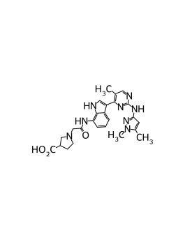 Cc1cnc(Nc2cc(C)n(C)n2)nc1-c1c[nH]c2c(NC(=O)CN3CCC(C(=O)O)C3)cccc12